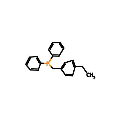 CCc1ccc(CP(c2ccccc2)c2ccccc2)cc1